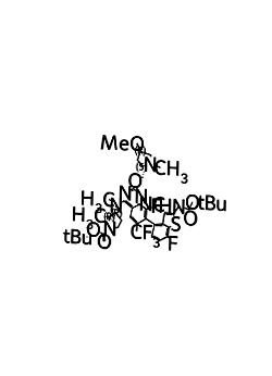 CO[C@@H]1C[C@@H](COc2nc(N(C)[C@@H]3CCN(C(=O)OC(C)(C)C)[C@@H]3C)c3cc(C(F)(F)F)c(-c4ccc(F)c5sc(NC(=O)OC(C)(C)C)c(C#N)c45)c(F)c3n2)N(C)C1